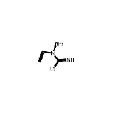 C=CN(CCC)C(=N)CC